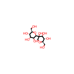 OC[C@H]1O[CH][C@](O)([C@@H]2O[C@H](CO)[C@@H](O)[C@H](O)[C@@H]2O)[C@@H](O)[C@@H]1O